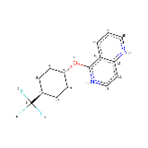 FC(F)(F)[C@H]1CC[C@H](Oc2nccc3ncccc23)CC1